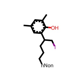 CCCCCCCCCCCCC(CI)c1cc(C)cc(C)c1O